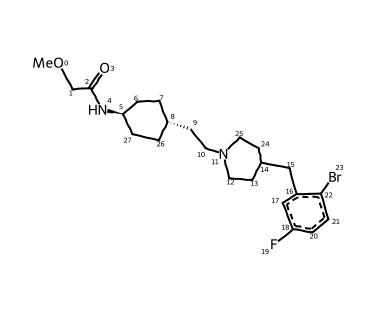 COCC(=O)N[C@H]1CC[C@H](CCN2CCC(Cc3cc(F)ccc3Br)CC2)CC1